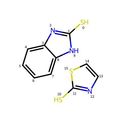 Sc1nc2ccccc2[nH]1.Sc1nccs1